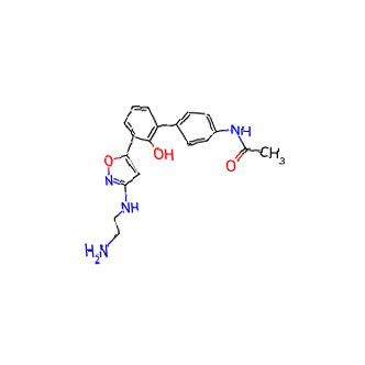 CC(=O)Nc1ccc(-c2cccc(-c3cc(NCCN)no3)c2O)cc1